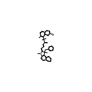 C=C(/C=C/C=C1/N(C)c2ccc3ccccc3c2C1(C)Cc1ccccc1)C(C)(C)c1c(C)ccc2ccc(Br)cc12